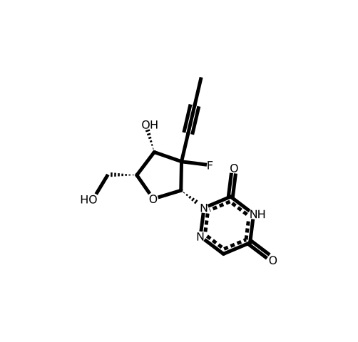 CC#CC1(F)[C@@H](O)[C@@H](CO)O[C@H]1n1ncc(=O)[nH]c1=O